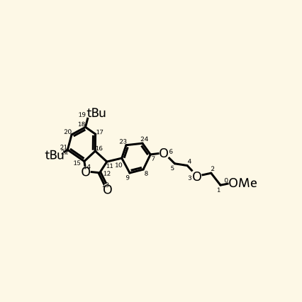 COCCOCCOc1ccc(C2C(=O)Oc3c2cc(C(C)(C)C)cc3C(C)(C)C)cc1